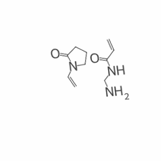 C=CC(=O)NCN.C=CN1CCCC1=O